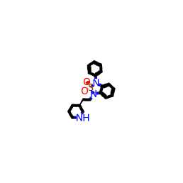 O=S1(=O)N(CC[C@@H]2CCCNC2)c2ccccc2N1c1ccccc1